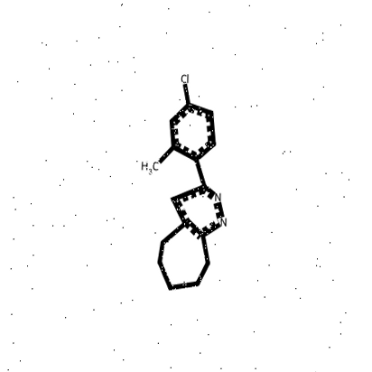 Cc1cc(Cl)ccc1-c1cc2c(nn1)CCCCC2